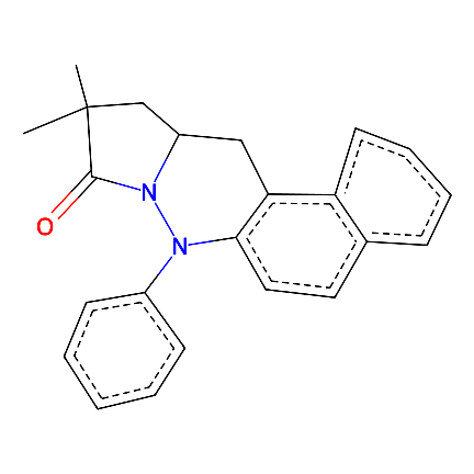 CC1(C)CC2Cc3c(ccc4ccccc34)N(c3ccccc3)N2C1=O